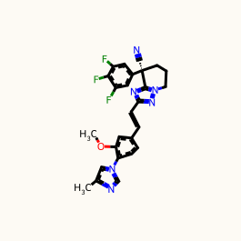 COc1cc(/C=C/c2nc3n(n2)CCC[C@]3(C#N)c2cc(F)c(F)c(F)c2)ccc1-n1cnc(C)c1